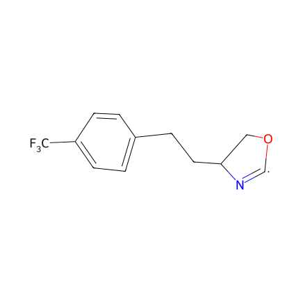 FC(F)(F)c1ccc(CCC2CO[C]=N2)cc1